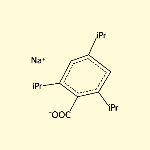 CC(C)c1cc(C(C)C)c(C(=O)[O-])c(C(C)C)c1.[Na+]